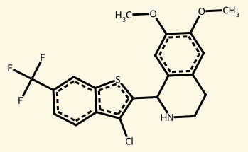 COc1cc2c(cc1OC)C(c1sc3cc(C(F)(F)F)ccc3c1Cl)NCC2